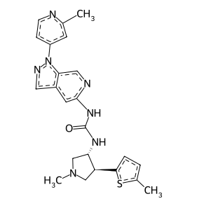 Cc1cc(-n2ncc3cc(NC(=O)N[C@H]4CN(C)C[C@@H]4c4ccc(C)s4)ncc32)ccn1